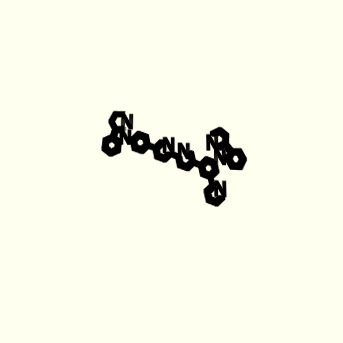 C1=Nc2c(c3ccccc3n2-c2ccc(-c3ccc(-c4ccc(-c5cc(-c6ccccn6)cc(-n6c7ccccc7c7cccnc76)c5)cn4)nc3)cc2)CC1